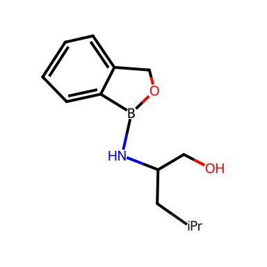 CC(C)CC(CO)NB1OCc2ccccc21